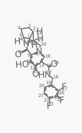 C[C@H]1[C@H]2CC[C@@H]1N1C(=O)c3c(O)c(=O)c(C(=O)NCc4ccc(F)c(F)c4F)cn3C[C@@H]21